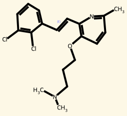 Cc1ccc(OCCCN(C)C)c(/C=C/c2cccc(Cl)c2Cl)n1